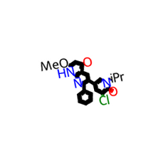 COc1cc(=O)c2cc(-c3cc(Cl)c(=O)n(C(C)C)c3)c(-c3ccccc3)nc2[nH]1